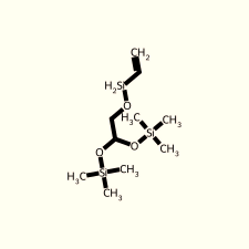 C=C[SiH2]OCC(O[Si](C)(C)C)O[Si](C)(C)C